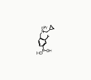 CCCN(Cc1ccc(B(O)O)cc1F)CC1CC1